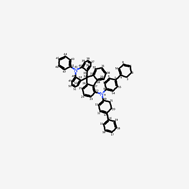 C1=CCCC(c2ccc(N(C3=CC=C(c4ccccc4)CC3)c3cccc4c3-c3ccccc3C43c4ccccc4N(c4ccccc4)c4ccccc43)cc2)=C1